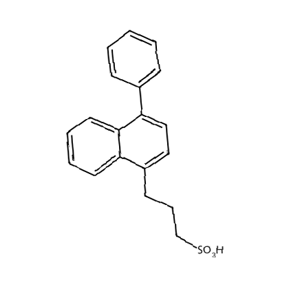 O=S(=O)(O)CCCc1ccc(-c2ccccc2)c2ccccc12